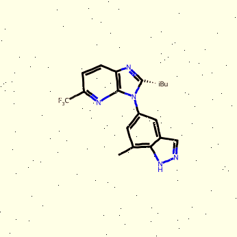 CC[C@@H](C)c1nc2ccc(C(F)(F)F)nc2n1-c1cc(C)c2[nH]ncc2c1